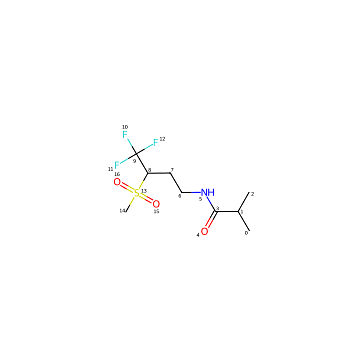 CC(C)C(=O)NCCC(C(F)(F)F)S(C)(=O)=O